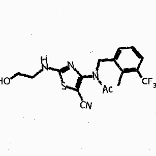 CC(=O)N(Cc1cccc(C(F)(F)F)c1C)c1nc(NCCO)sc1C#N